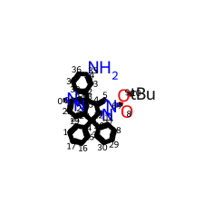 Cn1nc(-c2cn(C(=O)OC(C)(C)C)nc2C(c2ccccc2)(c2ccccc2)c2ccccc2)c2cc(N)ccc21